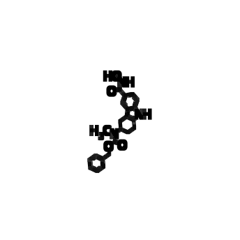 CN(C(=O)OCc1ccccc1)C1CCc2[nH]c3ccc(C(=O)NO)cc3c2C1